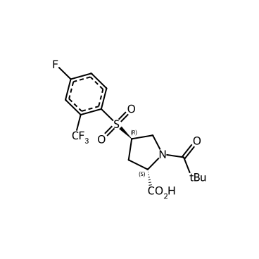 CC(C)(C)C(=O)N1C[C@H](S(=O)(=O)c2ccc(F)cc2C(F)(F)F)C[C@H]1C(=O)O